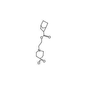 O=C(OCCN1CCS(=O)(=O)CC1)C1CC2CCC1C2